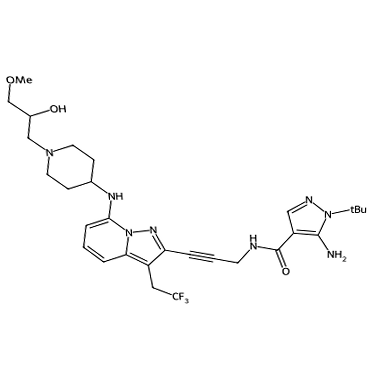 COCC(O)CN1CCC(Nc2cccc3c(CC(F)(F)F)c(C#CCNC(=O)c4cnn(C(C)(C)C)c4N)nn23)CC1